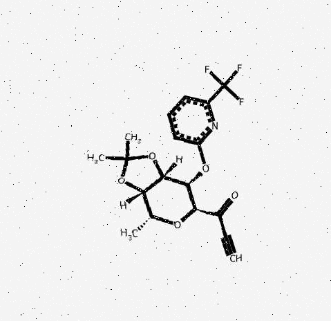 C#CC(=O)[C@H]1O[C@H](C)[C@@H]2OC(C)(C)O[C@@H]2[C@H]1Oc1cccc(C(F)(F)F)n1